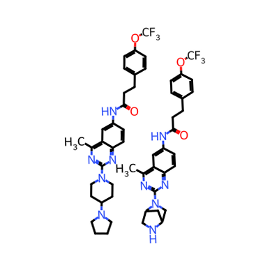 Cc1nc(N2CC3CC2CN3)nc2ccc(NC(=O)CCc3ccc(OC(F)(F)F)cc3)cc12.Cc1nc(N2CCC(N3CCCC3)CC2)nc2ccc(NC(=O)CCc3ccc(OC(F)(F)F)cc3)cc12